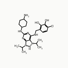 CC(C)N1NN(C(C)C)c2c(NCc3ccc(Cl)c(O)c3O)nc(NC3CCC(N)CC3)nc21